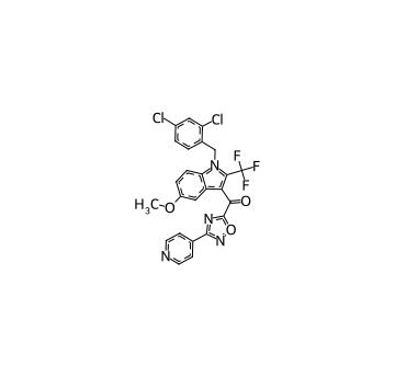 COc1ccc2c(c1)c(C(=O)c1nc(-c3ccncc3)no1)c(C(F)(F)F)n2Cc1ccc(Cl)cc1Cl